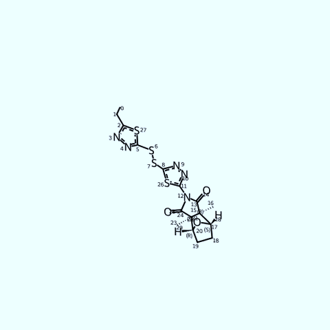 CCc1nnc(SSc2nnc(N3C(=O)[C@@]4(C)[C@@H]5CC[C@@H](O5)[C@@]4(C)C3=O)s2)s1